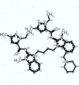 CCn1nc(C)cc1C(=O)/N=c1\n(C)c2ccccc2n1CCCCn1/c(=N/C(=O)c2cc(C)nn2CC)n(C)c2cccc(CN3CCCCC3)c21